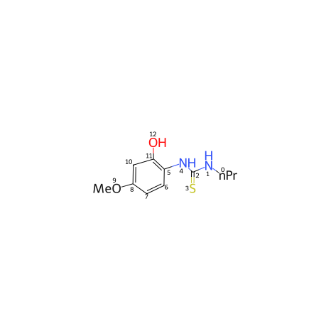 CCCNC(=S)Nc1ccc(OC)cc1O